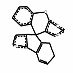 C1=CC2=C(CC1)C1(c3ccccc3Oc3ccccc31)c1ccccc12